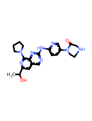 CC(O)c1cc2cnc(Nc3ccc(N4CCNCC4=O)cn3)nc2c(N2CCCC2)n1